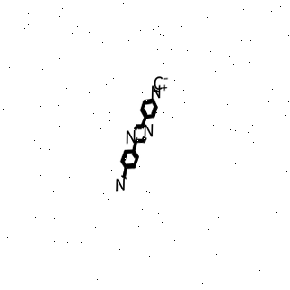 [C-]#[N+]c1ccc(-c2cnc(-c3ccc(C#N)cc3)cn2)cc1